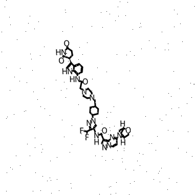 O=C1CC[C@@H](c2c[nH]c3c(NC(=O)CN4CCN(CC5CCC(n6cc(NC(=O)c7cnn8ccc(N9C[C@H]%10C[C@@H]9CO%10)nc78)c(C(F)F)n6)CC5)CC4)cccc23)C(=O)N1